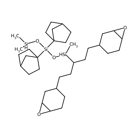 C[SiH](C)O[Si](O[SiH](C)C(CCC1CCC2OC2C1)CCC1CCC2OC2C1)(C12CCC(CC1)C2)C12CCC(CC1)C2